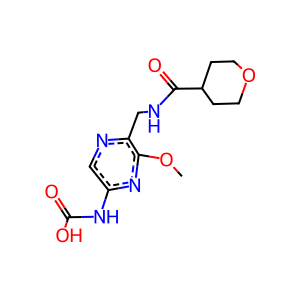 COc1nc(NC(=O)O)cnc1CNC(=O)C1CCOCC1